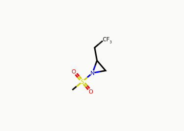 CS(=O)(=O)N1CC1CC(F)(F)F